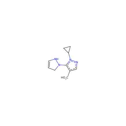 O=C(O)c1cnn(C2CC2)c1N1CC=CN1